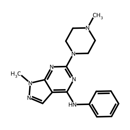 CN1CCN(c2nc(Nc3ccccc3)c3cnn(C)c3n2)CC1